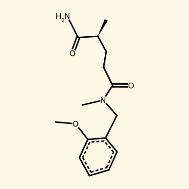 COc1ccccc1CN(C)C(=O)[CH]C[C@H](C)C(N)=O